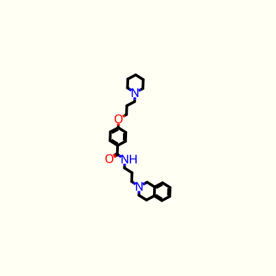 O=C(NCCCN1CCc2ccccc2C1)c1ccc(OCCCN2CCCCC2)cc1